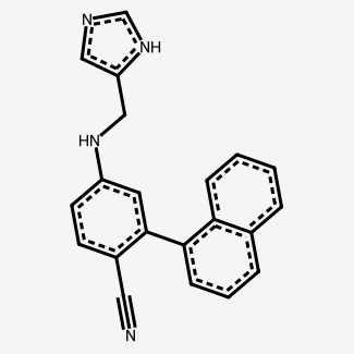 N#Cc1ccc(NCc2cnc[nH]2)cc1-c1cccc2ccccc12